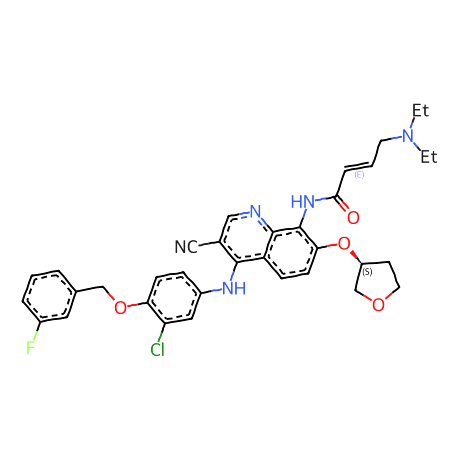 CCN(CC)C/C=C/C(=O)Nc1c(O[C@H]2CCOC2)ccc2c(Nc3ccc(OCc4cccc(F)c4)c(Cl)c3)c(C#N)cnc12